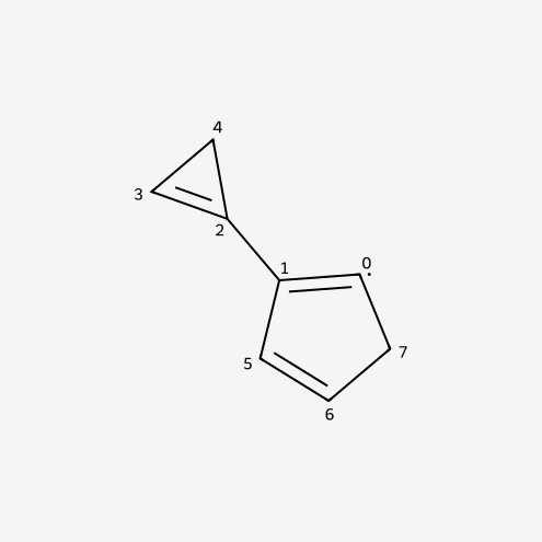 [C]1=C(C2=CC2)C=CC1